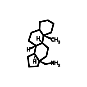 C[C@]12CCCCC1CC[C@H]1[C@@H]3CCC[C@@]3(CN)CC[C@@H]12